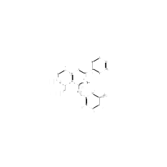 O=CC1NC=Cc2cc(-c3ccccc3)nc(Nc3cccc(C(F)(F)F)c3)c21